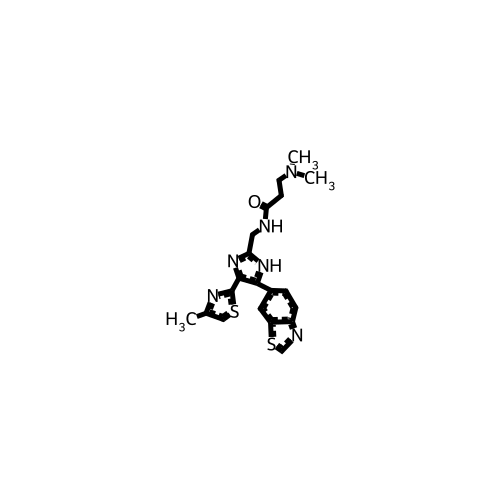 Cc1csc(-c2nc(CNC(=O)CCN(C)C)[nH]c2-c2ccc3ncsc3c2)n1